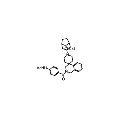 CCOC(=O)N1C2CCC1CC(N1CCC3(CC1)CN([S+]([O-])c1ccc(NC(C)=O)cc1)Cc1ccccc13)C2